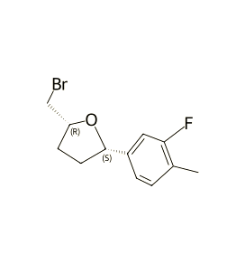 Cc1ccc([C@@H]2CC[C@H](CBr)O2)cc1F